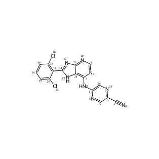 N#Cc1cnc(Nc2ncnc3nc(-c4c(Cl)cccc4Cl)[nH]c23)cn1